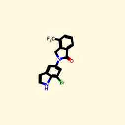 O=C1c2cccc(C(F)(F)F)c2CN1c1cc(Br)c2[nH]ccc2c1